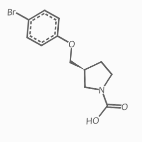 O=C(O)N1CC[C@H](COc2ccc(Br)cc2)C1